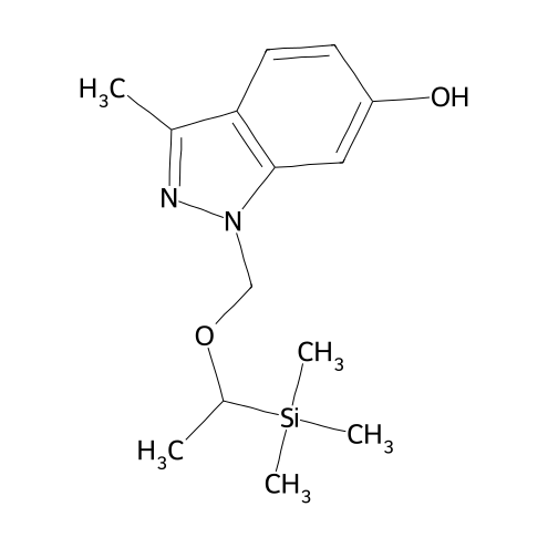 Cc1nn(COC(C)[Si](C)(C)C)c2cc(O)ccc12